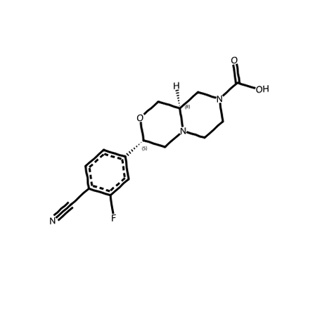 N#Cc1ccc([C@H]2CN3CCN(C(=O)O)C[C@@H]3CO2)cc1F